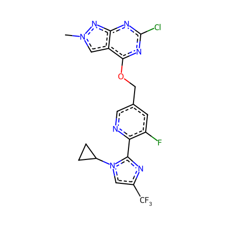 Cn1cc2c(OCc3cnc(-c4nc(C(F)(F)F)cn4C4CC4)c(F)c3)nc(Cl)nc2n1